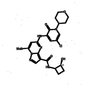 CNc1cc(Nc2cc(Cl)cn(C3CCOCC3)c2=O)nc2c(C(=O)NC3CC[C@@H]3O)cnn12